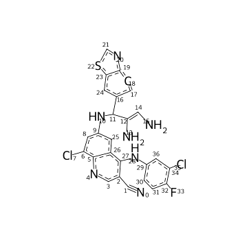 N#Cc1cnc2c(Cl)cc(NC(/C(N)=C/N)c3ccc4ncsc4c3)cc2c1Nc1ccc(F)c(Cl)c1